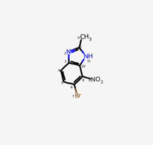 Cc1nc2ccc(Br)c([N+](=O)[O-])c2[nH]1